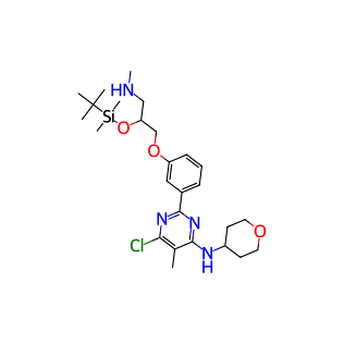 CNCC(COc1cccc(-c2nc(Cl)c(C)c(NC3CCOCC3)n2)c1)O[Si](C)(C)C(C)(C)C